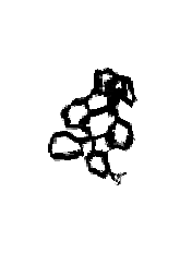 Brc1cccc(C2(c3ccccc3)c3ccccc3C3(c4ccccc4)c4ccccc4-c4cccc2c43)c1